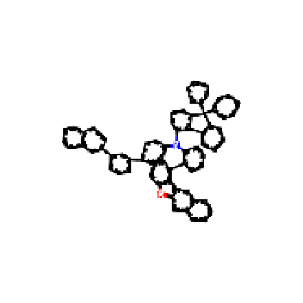 c1ccc(C2(c3ccccc3)c3ccccc3-c3c(N(c4ccc(-c5cccc(-c6ccc7ccccc7c6)c5)cc4)c4ccccc4-c4cccc5oc6cc7ccccc7cc6c45)cccc32)cc1